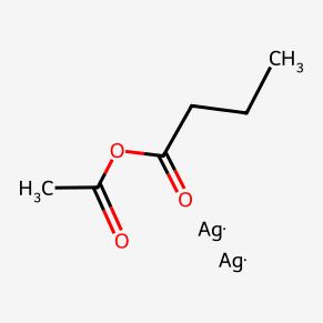 CCCC(=O)OC(C)=O.[Ag].[Ag]